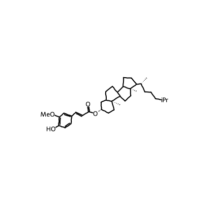 COc1cc(/C=C/C(=O)O[C@H]2CC[C@@]3(C)C(CCC4C3CC[C@@]3(C)C4CCC3[C@H](C)CCCC(C)C)C2)ccc1O